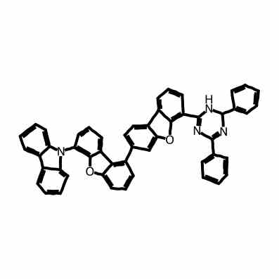 c1ccc(C2=NC(c3ccccc3)NC(c3cccc4c3oc3cc(-c5cccc6oc7c(-n8c9ccccc9c9ccccc98)cccc7c56)ccc34)=N2)cc1